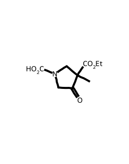 CCOC(=O)C1(C)CN(C(=O)O)CC1=O